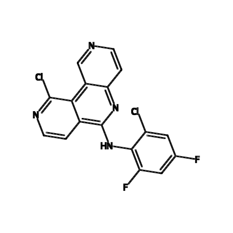 Fc1cc(F)c(Nc2nc3ccncc3c3c(Cl)nccc23)c(Cl)c1